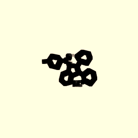 Cc1ccc([S+]([O-])n2c(-c3ccccc3)c(-c3ccccc3C#N)c3c2=CCCC=3)cc1